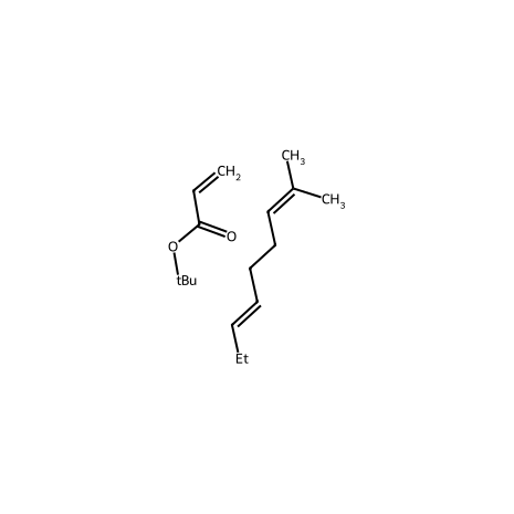 C=CC(=O)OC(C)(C)C.CCC=CCCC=C(C)C